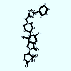 O=C1CCC(N2Cc3c(cc(F)c(C4CCN(Cc5nnc(-c6ccccc6)o5)CC4)c3F)C2=O)C(=O)N1